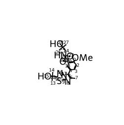 COc1ccc(-c2c(C)nc3sc(C(C)(C)O)nn23)cc1S(=O)(=O)NCC(C)(C)O